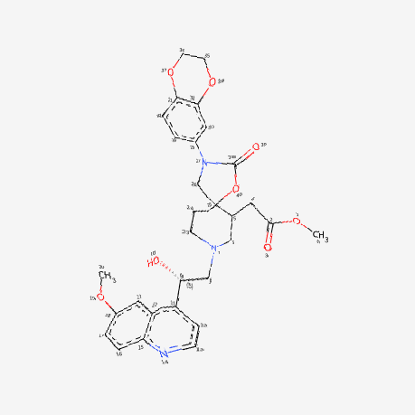 COC(=O)CC1CN(C[C@@H](O)c2ccnc3ccc(OC)cc23)CCC12CN(c1ccc3c(c1)OCCO3)C(=O)O2